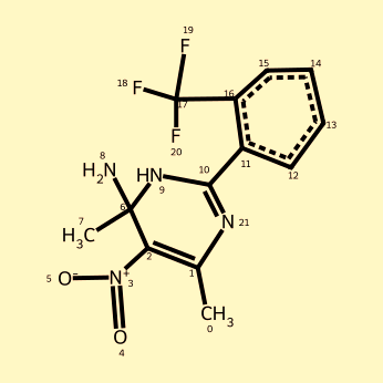 CC1=C([N+](=O)[O-])C(C)(N)NC(c2ccccc2C(F)(F)F)=N1